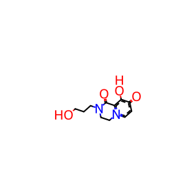 O=C1c2c(O)c(=O)ccn2CCN1CCCO